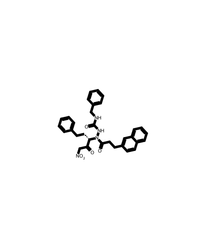 O=C(NCc1ccccc1)NN(C(=O)CCc1ccc2ccccc2c1)[C@@H](CCc1ccccc1)C(=O)C[N+](=O)[O-]